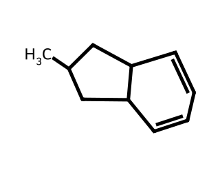 CC1CC2C=CC=CC2C1